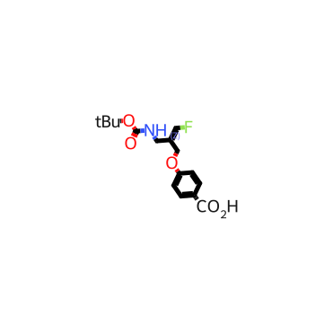 CC(C)(C)OC(=O)NC/C(=C/F)COc1ccc(C(=O)O)cc1